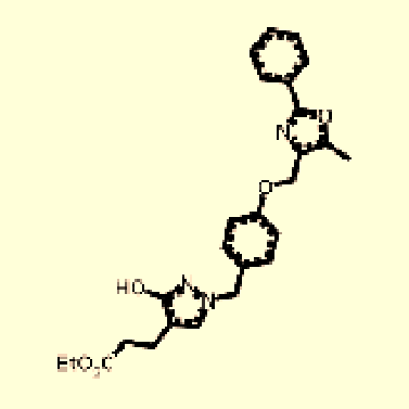 CCOC(=O)CCc1cn(Cc2ccc(OCc3nc(-c4ccccc4)oc3C)cc2)nc1O